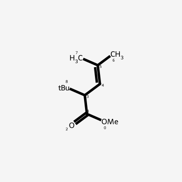 COC(=O)C(C=C(C)C)C(C)(C)C